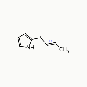 C/C=C/[CH]c1ccc[nH]1